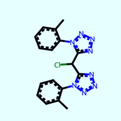 Cc1ccccc1-n1nnnc1C(Cl)c1nnnn1-c1ccccc1C